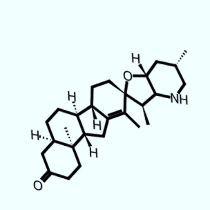 CC1=C2C[C@H]3[C@@H](CC[C@@H]4CC(=O)CC[C@@]43C)[C@@H]2CC[C@]12O[C@@H]1C[C@H](C)CNC1[C@H]2C